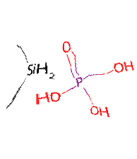 C[SiH2]C.O=P(O)(O)O